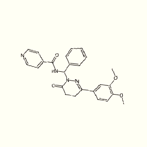 COc1ccc(C2=NN(C(NC(=O)c3ccncc3)c3ccccc3)C(=O)CC2)cc1OC